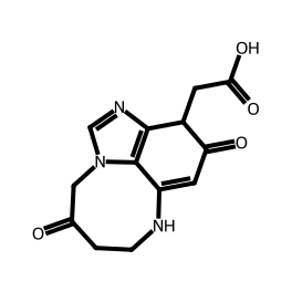 O=C(O)CC1C(=O)C=C2NCCC(=O)Cn3cnc1c32